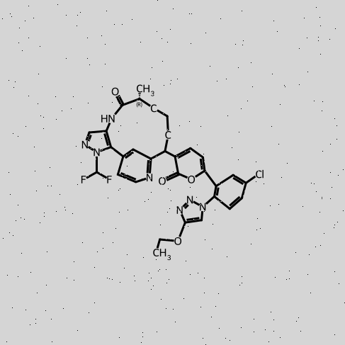 CCOc1cn(-c2ccc(Cl)cc2-c2ccc(C3CCC[C@@H](C)C(=O)Nc4cnn(C(F)F)c4-c4ccnc3c4)c(=O)o2)nn1